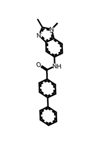 Cc1nc2cc(NC(=O)c3ccc(-c4ccccc4)cc3)ccc2n1C